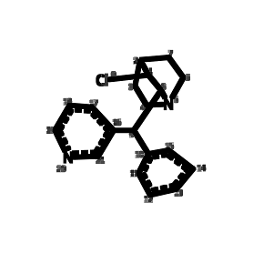 ClC1C2CCN(CC2)C1C(c1ccccc1)c1cccnc1